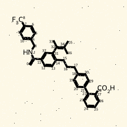 C=C(NCc1ccc(C(F)(F)F)cc1)c1ccc(CCCc2ccc(-c3ccccc3C(=O)O)cc2)c(C(C)=C(C)C)c1